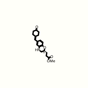 COC(=O)CC[C@H]1CNc2cc(C=C3CCC(=O)CC3)ccc2O1